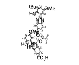 C=C(C)C(=O)OC(COC(=O)c1ccc2nn(-c3cc(OC)cc(C(C)(C)C)c3O)nc2c1)N1c2ccc(C(=O)O)cc2NN1c1cc(OC)ccc1O